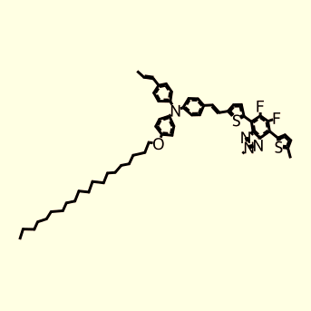 C/C=C/c1ccc(N(c2ccc(/C=C/c3ccc(-c4c(F)c(F)c(-c5ccc(C)s5)c5nn(C)nc45)s3)cc2)c2ccc(OCCCCCCCCCCCCCCCCCCCC)cc2)cc1